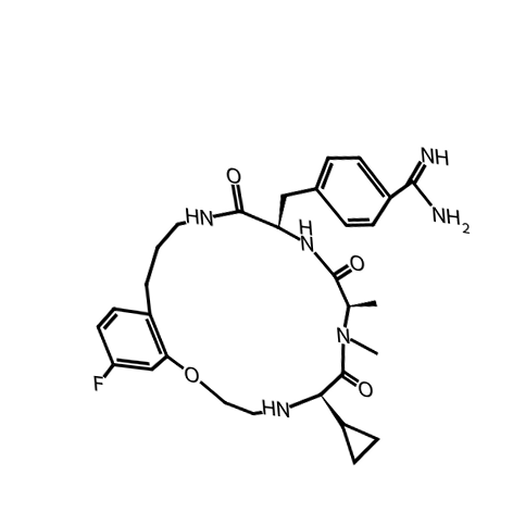 C[C@@H]1C(=O)N[C@H](Cc2ccc(C(=N)N)cc2)C(=O)NCCCc2ccc(F)cc2OCCN[C@H](C2CC2)C(=O)N1C